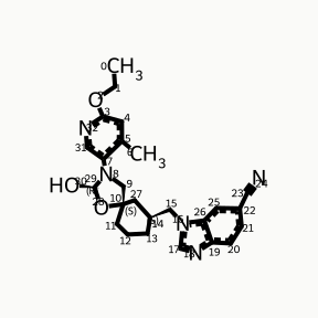 CCOc1cc(C)c(N2C[C@@]3(CCC[C@H](Cn4cnc5ccc(C#N)cc54)C3)O[C@H]2O)cn1